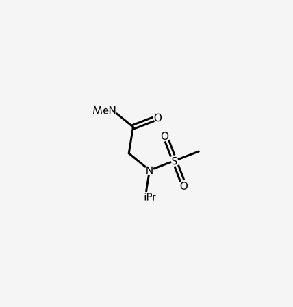 CNC(=O)CN(C(C)C)S(C)(=O)=O